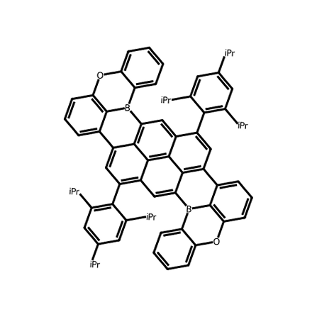 CC(C)c1cc(C(C)C)c(-c2cc3c4c(cc5c(-c6c(C(C)C)cc(C(C)C)cc6C(C)C)cc6c7c(cc2c4c57)B2c4ccccc4Oc4cccc-6c42)B2c4ccccc4Oc4cccc-3c42)c(C(C)C)c1